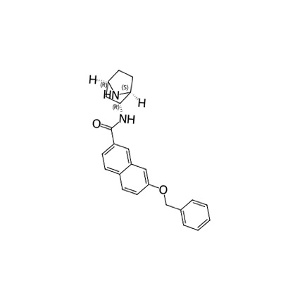 O=C(N[C@@H]1C[C@H]2CC[C@@H]1N2)c1ccc2ccc(OCc3ccccc3)cc2c1